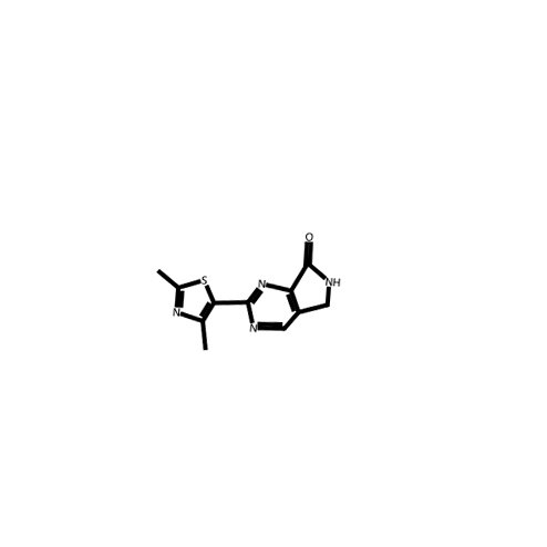 Cc1nc(C)c(-c2ncc3c(n2)C(=O)NC3)s1